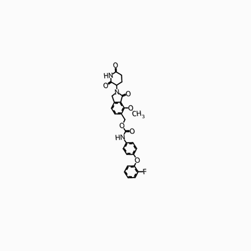 COc1c(COC(=O)Nc2ccc(Oc3ccccc3F)cc2)ccc2c1C(=O)N(C1CCC(=O)NC1=O)C2